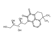 CC1(C)CCn2c(=O)c(=O)n(C[C@H](O)[C@H](O)[C@H](O)CO)c3cccc1c32